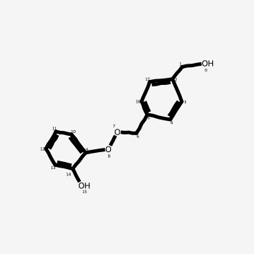 OCc1ccc(COOc2ccccc2O)cc1